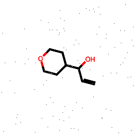 C=CC(O)[C]1CCOCC1